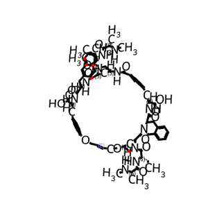 CC[C@H](NC(=O)[C@H](C)NC)C(=O)N1C[C@@H]2CC1C(=O)N1Cc3ccccc3CC1C(=O)N[C@H](C(=O)O)Cc1ccc(cc1)C(=O)N[C@H]1C[C@@H](C(=O)N[C@@H](Cc3ccc4ccccc4c3)C(=O)N[C@H](C(=O)O)Cc3ccc(cc3)OC/C=C/CO2)N(C(=O)[C@@H](NC(=O)[C@H](C)NC)C(C)(C)C)C1